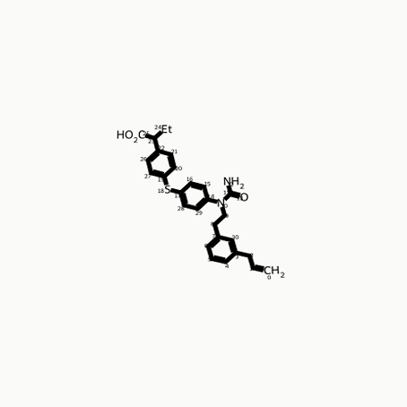 C=CCc1cccc(CCN(C(N)=O)c2ccc(Sc3ccc(C(CC)C(=O)O)cc3)cc2)c1